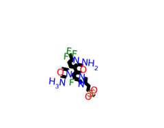 CS(=O)(=O)CCc1cn2cc(-c3ccc(C(F)(F)F)nc3C(N)=O)c(N3CCOCC3)c(F)c2n1.N